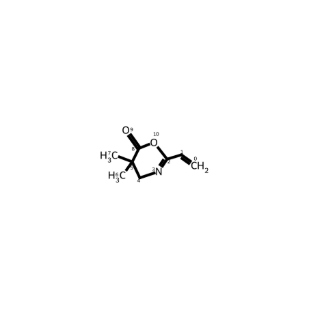 C=CC1=NCC(C)(C)C(=O)O1